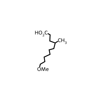 COCCCCCCC(C)CCC(=O)O